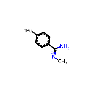 C/N=C(\N)c1ccc(C(C)(C)C)cc1